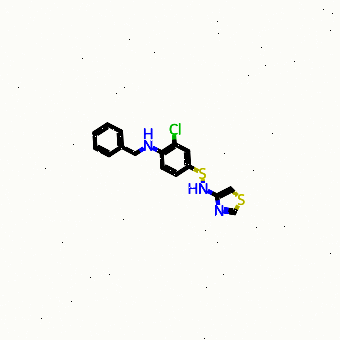 Clc1cc(SNc2cscn2)ccc1NCc1ccccc1